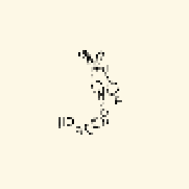 CC(C)(C)OC(=O)N(CC1CCN(CCOc2ccc(C(=O)O)cn2)CC1)C1CC1c1ccc(F)cc1